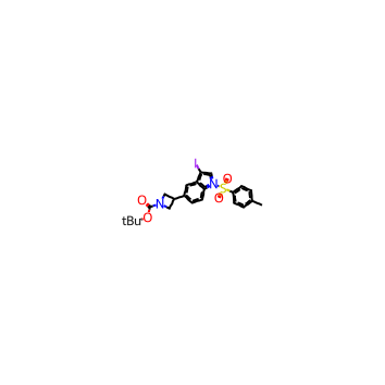 Cc1ccc(S(=O)(=O)n2cc(I)c3cc(C4CN(C(=O)OC(C)(C)C)C4)ccc32)cc1